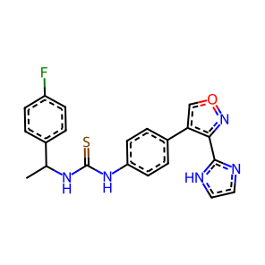 CC(NC(=S)Nc1ccc(-c2conc2-c2ncc[nH]2)cc1)c1ccc(F)cc1